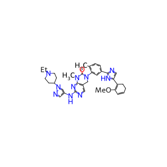 CCN1CCC(n2cc(Nc3ncc4c(n3)N(C)C(=O)N(c3cc(-c5ncc(C6=C(OC)C=CCC6)[nH]5)ccc3C)C4)cn2)CC1